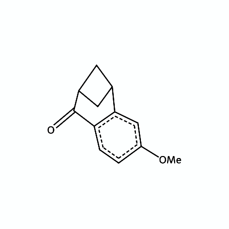 COc1ccc2c(c1)C1CC(C1)C2=O